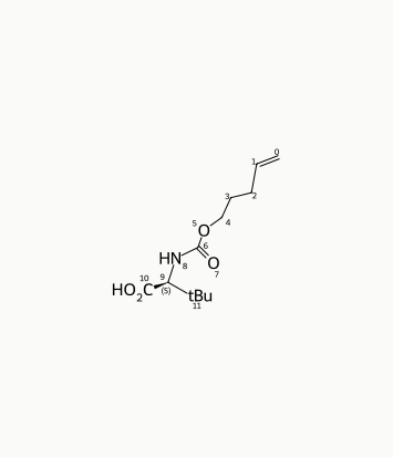 C=CCCCOC(=O)N[C@H](C(=O)O)C(C)(C)C